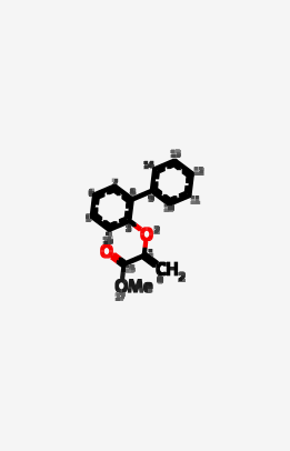 C=C(Oc1ccccc1-c1ccccc1)C(=O)OC